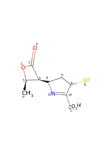 C[C@H]1OC(=O)[C@H]1C1CC(S)C(C(=O)O)=N1